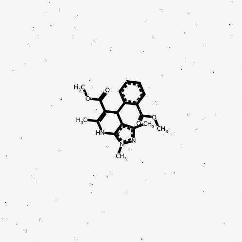 COC(=O)C1=C(C)Nc2c(c(C)nn2C)C1c1ccccc1C(=O)OC